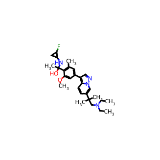 CCN(CC)CC(C)(C)c1ccc2c(-c3cc(C)c(C(C)(O)NC4CC4F)c(OC)c3)cnn2c1